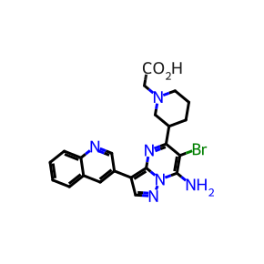 Nc1c(Br)c(C2CCCN(CC(=O)O)C2)nc2c(-c3cnc4ccccc4c3)cnn12